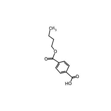 CCCCOC(=O)c1ccc(C(=O)O)cc1